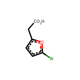 O=C(O)Cc1ccc(Br)o1